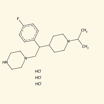 CC(C)N1CCC(C(CN2CCNCC2)c2ccc(F)cc2)CC1.Cl.Cl.Cl